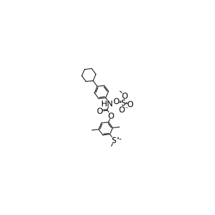 COS(=O)(=O)[O-].Cc1cc(OC(=O)Nc2ccc(C3CCCCC3)cc2)c(C)c([S+](C)C)c1